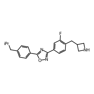 CC(C)Cc1ccc(-c2nc(-c3ccc(CC4CNC4)c(F)c3)no2)cc1